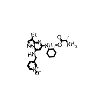 CCc1cnn2c(NCc3ccc[n+]([O-])c3)cc(N[C@H]3CCCC[C@H]3COC(=O)[C@H](C)N)nc12